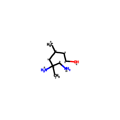 CC(CCO)CC(C)(N)CN